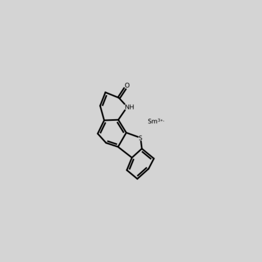 O=c1ccc2ccc3c4ccccc4sc3c2[nH]1.[Sm+3]